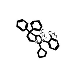 Cc1ccccc1N1C(C2CCCC2)N2C=CC(c3ccccc3)(c3ccccc3)C2[C@@H]1C